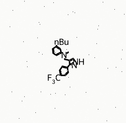 CCCCc1cccc(N(C)Cc2c[nH]nc2-c2ccc(C(F)(F)F)cc2)c1